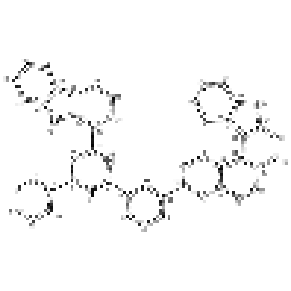 c1ccc(-c2nc(-c3cccc(-c4ccc5c(ccc6ccc7sc8ccccc8c7c65)c4)c3)nc(-c3cccc4c3oc3ccccc34)n2)cc1